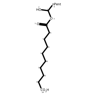 CCCCCC(O)OC(=O)CCCCCCCCC(=O)O